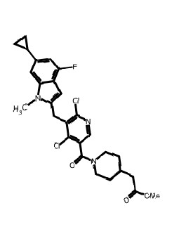 COC(=O)CC1CCN(C(=O)c2cnc(Cl)c(Cc3cc4c(F)cc(C5CC5)cc4n3C)c2Cl)CC1